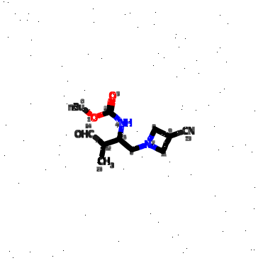 CCCCOC(=O)NC(CN1CC(C#N)C1)C(C)C=O